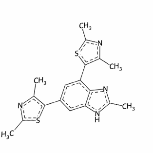 Cc1nc2c(-c3sc(C)nc3C)cc(-c3sc(C)nc3C)cc2[nH]1